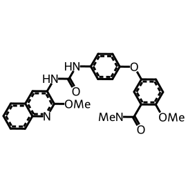 CNC(=O)c1cc(Oc2ccc(NC(=O)Nc3cc4ccccc4nc3OC)cc2)ccc1OC